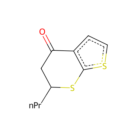 CCCC1CC(=O)c2ccsc2S1